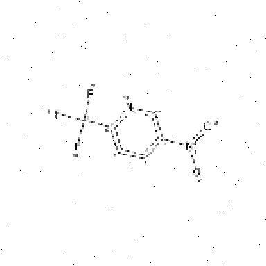 O=[N+]([O-])c1ccc(C(F)(F)F)nc1